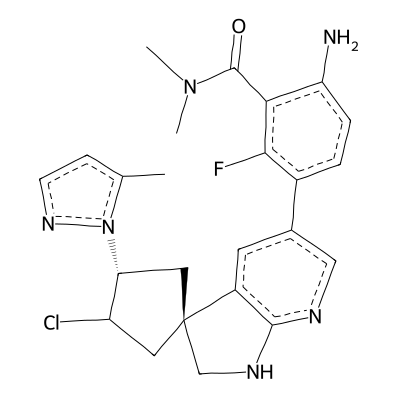 Cc1ccnn1[C@@H]1C[C@@]2(CNc3ncc(-c4ccc(N)c(C(=O)N(C)C)c4F)cc32)CC1Cl